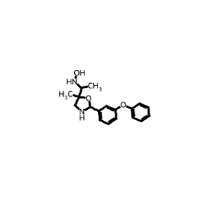 CC(NO)C1(C)CNC(c2cccc(Oc3ccccc3)c2)O1